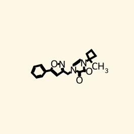 CC1(n2ccn(Cc3cc(-c4ccccc4)on3)c(=O)c2=O)CCC1